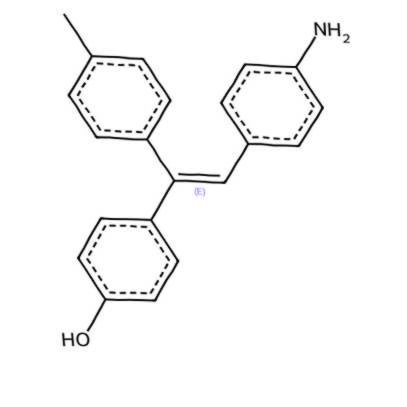 Cc1ccc(/C(=C\c2ccc(N)cc2)c2ccc(O)cc2)cc1